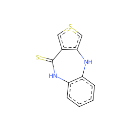 S=C1Nc2ccccc2Nc2cscc21